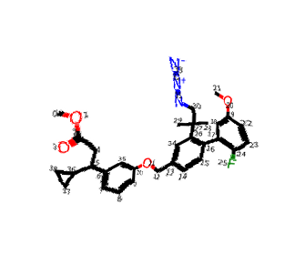 COC(=O)CC(c1cccc(OCc2ccc(-c3cc(OC)ccc3F)c(C(C)(C)CN=[N+]=[N-])c2)c1)C1CC1